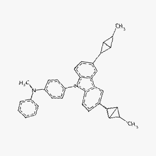 CC1C2C(c3ccc4c(c3)c3cc(C5C6C(C)C56)ccc3n4-c3ccc(N(C)c4ccccc4)cc3)C12